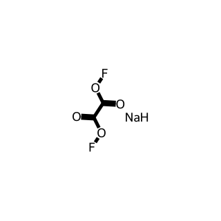 O=C(OF)C(=O)OF.[NaH]